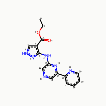 CCOC(=O)c1c[nH]nc1Nc1cncc(-c2ccccn2)n1